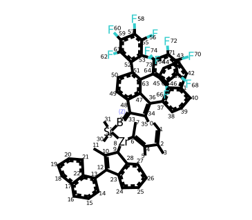 CC=C(C)C(C)=[C](C)[Zr]([CH]1C(C)=C(c2cccc3ccccc23)c2ccccc21)[Si](C)(C)/B=C1\C(C)=C(c2cccc3ccccc23)c2c1ccc(-c1c(F)c(F)c(F)c(F)c1F)c2-c1c(F)c(F)c(F)c(F)c1F